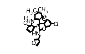 CC1(C)CC(=O)C2=C(C1)Nc1c(O)cccc1N(C(=O)NCc1ccoc1)C2c1ccc(Cl)cc1Cl